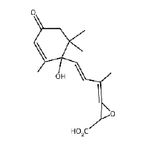 CC1=CC(=O)CC(C)(C)C1(O)C=C/C(C)=C1/OC1C(=O)O